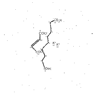 CCCCCCCCCCCCCCCCCC(=O)O.O=C([O-])/C=C/C(=O)[O-].[K+].[K+]